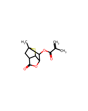 C=C(C)C(=O)OC1C2OC(=O)C3CC1(C)SC32